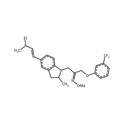 CCN(C)C=Nc1ccc2c(c1)CC(C)N2CC(COc1cccc(C(F)(F)F)c1)=NOC